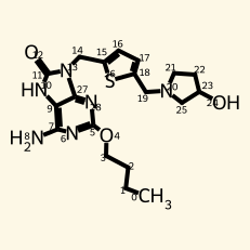 CCCCOc1nc(N)c2[nH]c(=O)n(Cc3ccc(CN4CCC(O)C4)s3)c2n1